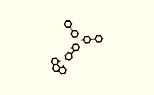 c1ccc(-c2ccc(N(c3ccc(-c4ccccc4)cc3)c3ccc4c(c3)oc3cc(-n5c6cccc7ccc8cccc5c8c76)ccc34)cc2)cc1